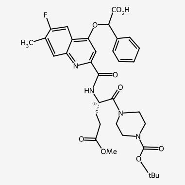 COC(=O)CC[C@H](NC(=O)c1cc(OC(C(=O)O)c2ccccc2)c2cc(F)c(C)cc2n1)C(=O)N1CCN(C(=O)OC(C)(C)C)CC1